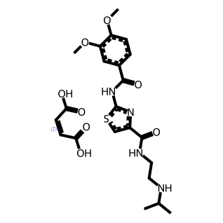 COc1ccc(C(=O)Nc2nc(C(=O)NCCNC(C)C)cs2)cc1OC.O=C(O)/C=C\C(=O)O